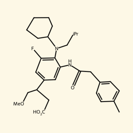 COCC(CC(=O)O)c1cc(F)c(N(CC(C)C)C2CCCCC2)c(NC(=O)Cc2ccc(C)cc2)c1